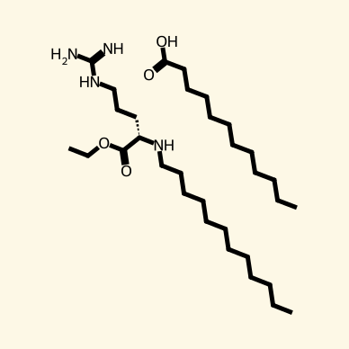 CCCCCCCCCCCC(=O)O.CCCCCCCCCCCCN[C@@H](CCCNC(=N)N)C(=O)OCC